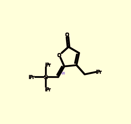 CC(C)CC1=CC(=O)O/C1=C\[Si](C(C)C)(C(C)C)C(C)C